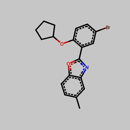 Cc1ccc2oc(-c3cc(Br)ccc3OC3CCCC3)nc2c1